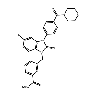 COC(=O)c1cccc(Cn2c(=O)n(-c3ccc(C(=O)N4CCOCC4)cc3)c3cc(Cl)ccc32)c1